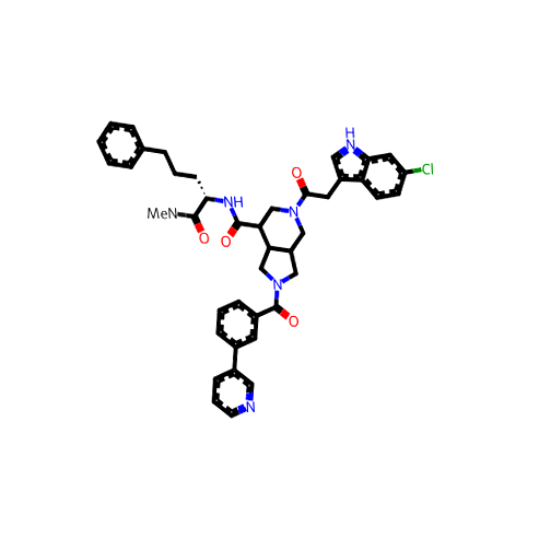 CNC(=O)[C@H](CCCc1ccccc1)NC(=O)C1CN(C(=O)Cc2c[nH]c3cc(Cl)ccc23)CC2CN(C(=O)c3cccc(-c4cccnc4)c3)CC21